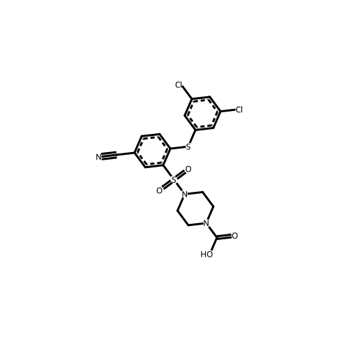 N#Cc1ccc(Sc2cc(Cl)cc(Cl)c2)c(S(=O)(=O)N2CCN(C(=O)O)CC2)c1